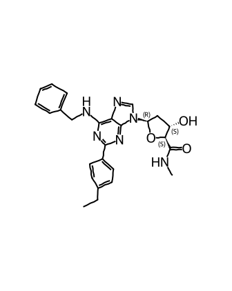 CCc1ccc(-c2nc(NCc3ccccc3)c3ncn([C@H]4C[C@H](O)[C@@H](C(=O)NC)O4)c3n2)cc1